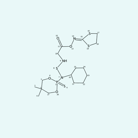 CC1(C)COP(=S)(N(SNCC(=O)ON=C2SCCS2)C2CCCCC2)OC1